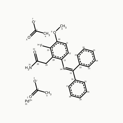 CC(=O)[O-].CC(=O)[O-].COc1ccc(N=C(c2ccccc2)c2ccccc2)c(CC(N)=O)c1F.[Pd+2]